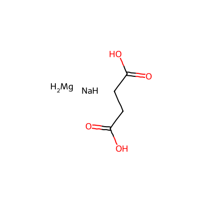 O=C(O)CCC(=O)O.[MgH2].[NaH]